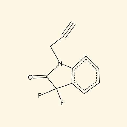 C#CCN1C(=O)C(F)(F)c2ccccc21